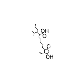 C=C[C@H]1[C@H](O)CC(=O)[C@@H]1CCCCCC(C(=O)O)C(CCC)C(C)C